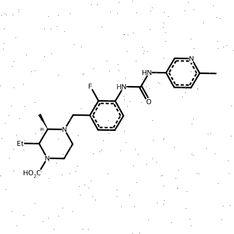 CCC1[C@@H](C)N(Cc2cccc(NC(=O)Nc3ccc(C)nc3)c2F)CCN1C(=O)O